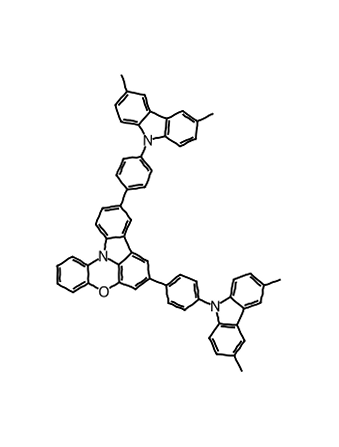 Cc1ccc2c(c1)c1cc(C)ccc1n2-c1ccc(-c2ccc3c(c2)c2cc(-c4ccc(-n5c6ccc(C)cc6c6cc(C)ccc65)cc4)cc4c2n3-c2ccccc2O4)cc1